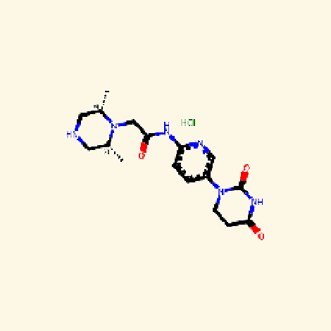 C[C@@H]1CNC[C@H](C)N1CC(=O)Nc1ccc(N2CCC(=O)NC2=O)cn1.Cl